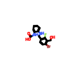 O=C(O)Nc1ccccc1NCc1ccc(Br)c(CO)c1F